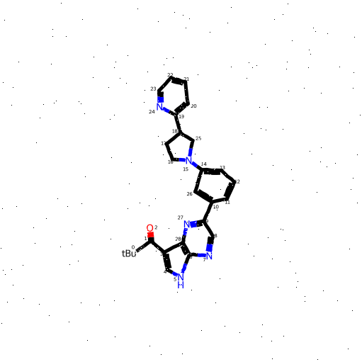 CC(C)(C)C(=O)c1c[nH]c2ncc(-c3cccc(N4CCC(c5ccccn5)C4)c3)nc12